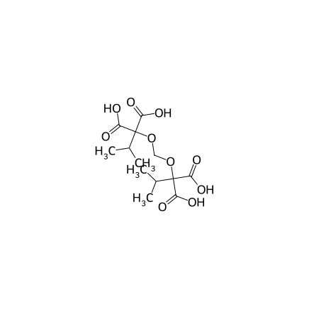 CC(C)C(OCOC(C(=O)O)(C(=O)O)C(C)C)(C(=O)O)C(=O)O